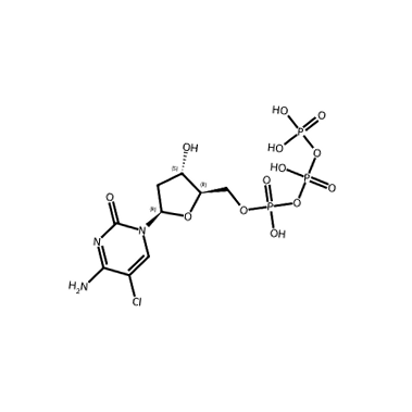 Nc1nc(=O)n([C@H]2C[C@H](O)[C@@H](COP(=O)(O)OP(=O)(O)OP(=O)(O)O)O2)cc1Cl